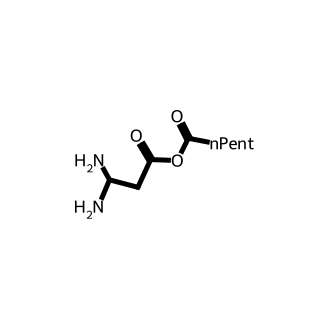 CCCCCC(=O)OC(=O)CC(N)N